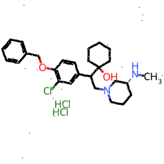 CN[C@@H]1CCCN(CC(c2ccc(OCc3ccccc3)c(Cl)c2)C2(O)CCCCC2)C1.Cl.Cl